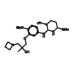 CCCN1CCC(NC)NC1Nc1ccc(OC)c(OCC(C)(O)CN2CCC2)c1